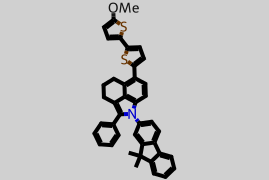 COc1ccc(-c2ccc(-c3ccc4c5c3CCCc5c(-c3ccccc3)n4-c3ccc4c(c3)C(C)(C)c3ccccc3-4)s2)s1